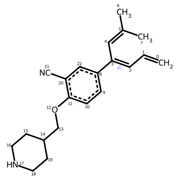 C=C/C=C(\C=C(C)C)c1ccc(OCC2CCNCC2)c(C#N)c1